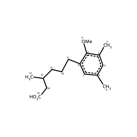 COc1c(C)cc(C)cc1CCCC(C)CC(=O)O